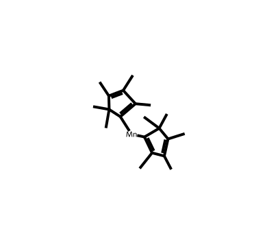 CC1=C(C)C(C)(C)[C]([Mn][C]2=C(C)C(C)=C(C)C2(C)C)=C1C